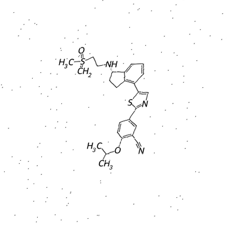 C=S(C)(=O)CCN[C@H]1CCc2c(-c3cnc(-c4ccc(OC(C)C)c(C#N)c4)s3)cccc21